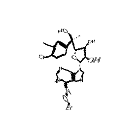 CCO/N=c1\[nH]cnc2c1ncn2[C@@H]1O[C@H]([C@](C)(O)c2ccc(Cl)c(C)c2)[C@@H](O)[C@H]1O